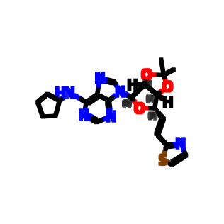 CC1(C)O[C@@H]2[C@H](O1)[C@@H](C=Cc1nccs1)O[C@H]2n1cnc2c(NC3CCCC3)ncnc21